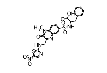 Cn1c(=O)c(CNc2ncc([N+](=O)[O-])s2)nc2cc(S(=O)(=O)NC(Cc3ccccc3)C(=O)O)ccc21